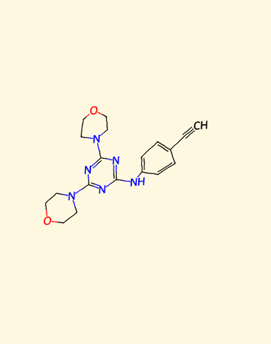 C#Cc1ccc(Nc2nc(N3CCOCC3)nc(N3CCOCC3)n2)cc1